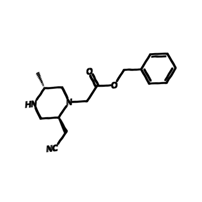 C[C@@H]1CN(CC(=O)OCc2ccccc2)[C@@H](CC#N)CN1